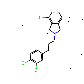 Clc1ccc(CCCN2Cc3cccc(Cl)c3C2)cc1Cl